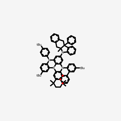 CC(C)(C)c1ccc(N2c3ccc(C(C)(C)C)cc3B3c4cc5c(cc4N(c4ccc(C(C)(C)C)cc4-c4ccccc4)c4cc(N6c7ccccc7C7(c8ccccc8)Cc8ccccc8CC67C)cc2c43)C(C)(C)CCC5(C)C)cc1